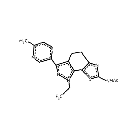 CC(=O)Nc1nc2c(s1)-c1c(c(-c3ccc(C)nc3)nn1CC(F)(F)F)CC2